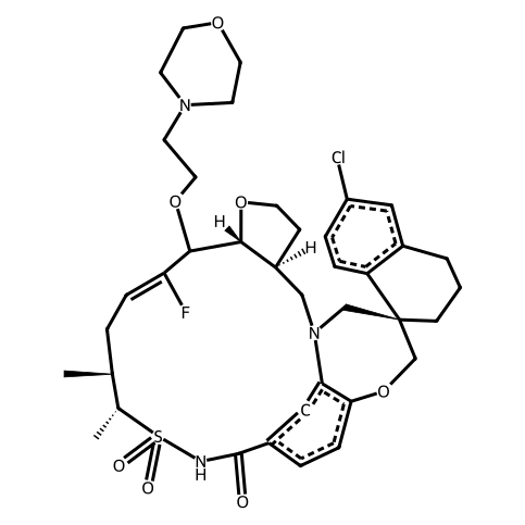 C[C@@H]1[C@@H](C)C/C=C(\F)C(OCCN2CCOCC2)[C@@H]2OCC[C@H]2CN2C[C@@]3(CCCc4cc(Cl)ccc43)COc3ccc(cc32)C(=O)NS1(=O)=O